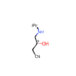 CC(C)NC[C@H](O)CC#N